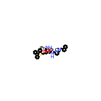 CC(C)[C@H](N)C(=O)O[C@H](/C=C/CCSC(c1ccccc1)(c1ccccc1)c1ccccc1)CC(=O)NCc1cccc(CN(CC(=O)O)Cc2cccc3ccccc23)n1